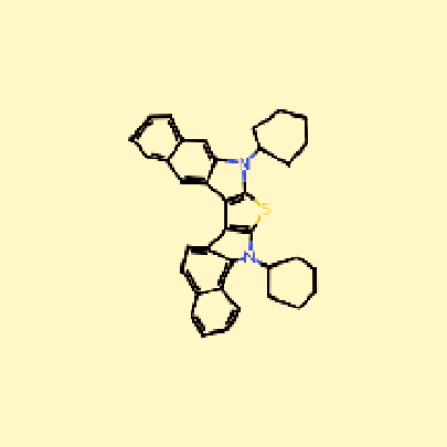 c1ccc2cc3c(cc2c1)c1c2c4ccc5ccccc5c4n(C4CCCCC4)c2sc1n3C1CCCCC1